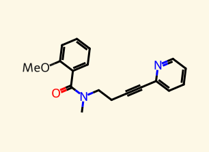 COc1ccccc1C(=O)N(C)CCC#Cc1ccccn1